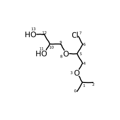 CC(C)OCC(CCl)OCC(O)CO